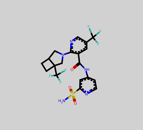 NS(=O)(=O)c1cc(NC(=O)c2cc(C(F)(F)F)cnc2N2CC3CCC3(C(F)(F)F)C2)ccn1